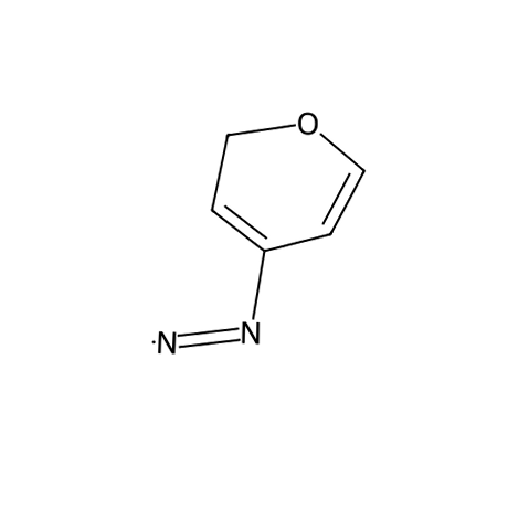 [N]=NC1=CCOC=C1